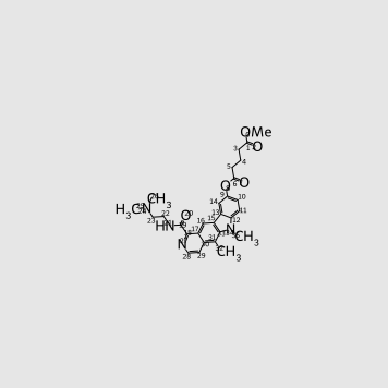 COC(=O)CCCC(=O)Oc1ccc2c(c1)c1cc3c(C(=O)NCCN(C)C)nccc3c(C)c1n2C